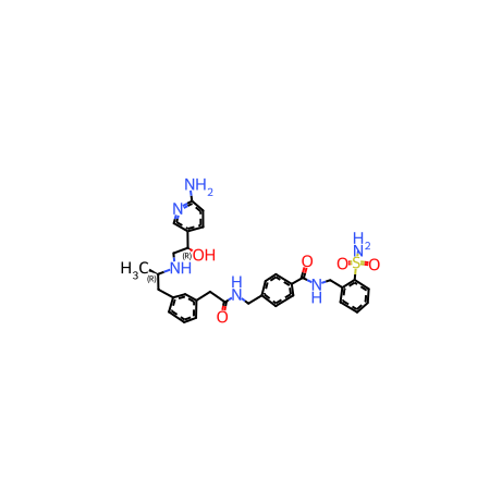 C[C@H](Cc1cccc(CC(=O)NCc2ccc(C(=O)NCc3ccccc3S(N)(=O)=O)cc2)c1)NC[C@H](O)c1ccc(N)nc1